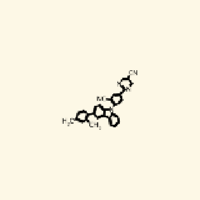 Cc1ccc(-c2ccc3c(c2)c2ccccc2n3-c2ccc(-c3ncc(C#N)cn3)cc2C#N)c(C)c1